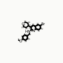 COc1ccc(CNc2nc3ccc(Br)cc3cc2C2CCOCC2)cc1